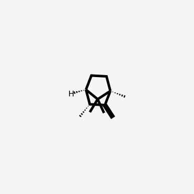 C=C1[C@H](C)[C@H]2CC[C@]1(C)C2(C)C